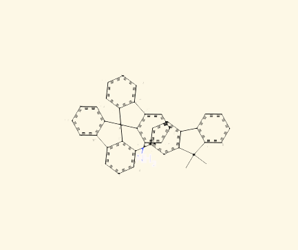 CC1(C)c2ccccc2-c2ccc(-c3cccc4c3C3(c5ccccc5-c5cccc(N)c53)c3ccccc3-4)cc21